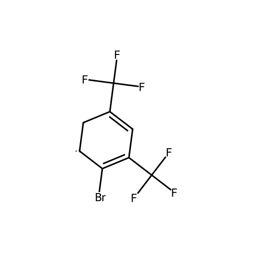 FC(F)(F)C1=CC(C(F)(F)F)=C(Br)[CH]C1